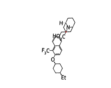 CC[C@H]1CC[C@@H](Oc2ccc3cc(CCN4C5CCC[C@@H]4CC(C(=O)O)C5)ccc3c2C(F)(F)F)CC1